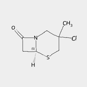 CC1(Cl)CS[C@H]2CC(=O)N2C1